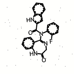 O=C1CN=C(N(C(=O)c2cc3ccccc3[nH]2)c2ccccc2F)c2ccccc2N1